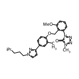 COc1cccc(-n2nnn(C)c2=O)c1COc1ccc(-c2ccn(CCCC(C)C)n2)cc1C